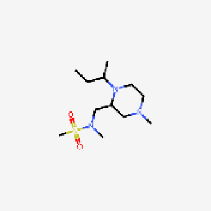 CCC(C)N1CCN(C)CC1CN(C)S(C)(=O)=O